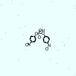 O=Nc1ccc(OP(=O)(O)Oc2ccc(N=O)cc2)cc1